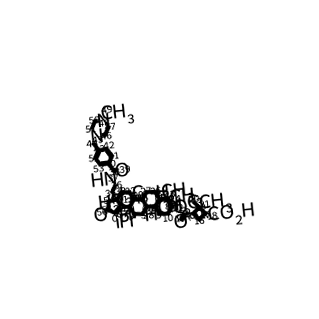 CC(C)C1=C2[C@H]3CC[C@@H]4[C@@]5(C)CC[C@H](OC(=O)[C@H]6C[C@@H](C(=O)O)C6(C)C)C(C)(C)[C@@H]5CC[C@@]4(C)[C@]3(C)CC[C@@]2(CCNC(=O)c2ccc(CN3CCN(C)CC3)cc2)CC1=O